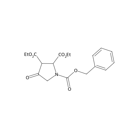 CCOC(=O)C1C(=O)CN(C(=O)OCc2ccccc2)C1C(=O)OCC